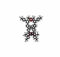 CCC1(OC2(CC)c3cc(-c4cc(-c5ccc(C(C)(C)C)cc5)cc(-c5ccc(C(C)(C)C)cc5)c4)ccc3-c3ccc(-c4cc(-c5ccc(C(C)(C)C)cc5)cc(-c5ccc(C(C)(C)C)cc5)c4)cc32)c2cc(-c3cc(-c4ccc(C(C)(C)C)cc4)cc(-c4ccc(C(C)(C)C)cc4)c3)ccc2-c2ccc(-c3cc(-c4ccc(C(C)(C)C)cc4)cc(-c4ccc(C(C)(C)C)cc4)c3)cc21